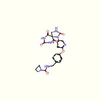 O=C1NC(=O)C2(CNC(=O)N2c2ccc(Oc3ccc(CNC(=O)N4CCC4)cc3)nc2)C(=O)N1